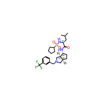 CC(C)C[C@H](NS(=O)(=O)C1CCCC1)C(=O)N[C@@H]1CC[C@H]2CN(Cc3cccc(C(F)(F)F)c3)C[C@H]21